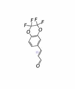 O=C/C=C/c1ccc2c(c1)OC(F)(F)C(F)(F)O2